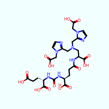 O=C(O)CC[C@H](NC(=O)N[C@@H](CCC(=O)NC(CN(Cc1nccn1CC(=O)O)Cc1nccn1CC(=O)O)C(=O)O)C(=O)O)C(=O)O